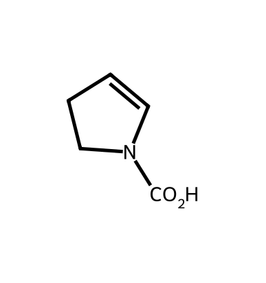 O=C(O)N1C=CCC1